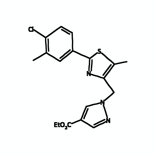 CCOC(=O)c1cnn(Cc2nc(-c3ccc(Cl)c(C)c3)sc2C)c1